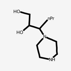 CCC[C](C(O)CO)N1CCNCC1